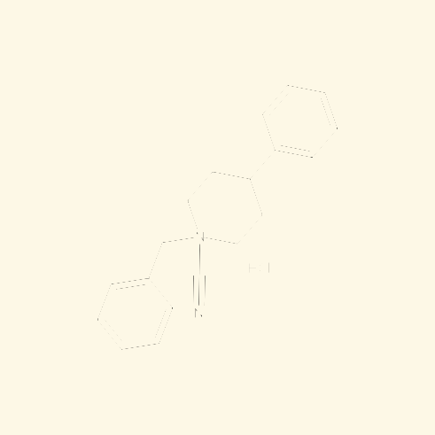 Cl.N#C[N+]1(Cc2ccccc2)CCC(c2ccccc2)CC1